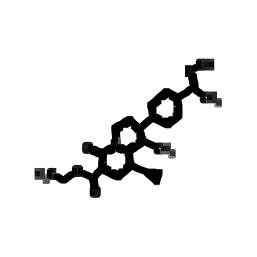 CCOC(=O)c1cc(C2CC2)c2c(C)c(-c3ccc(C(C)=NO)cc3)ccn2c1=O